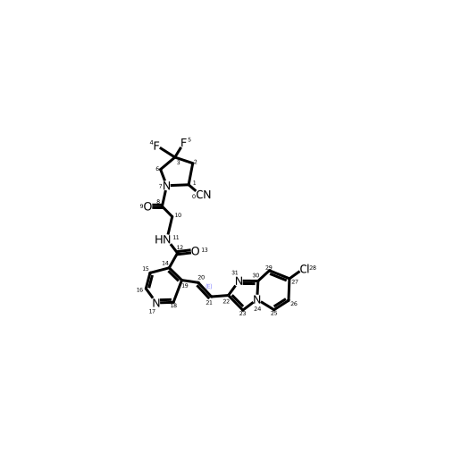 N#CC1CC(F)(F)CN1C(=O)CNC(=O)c1ccncc1/C=C/c1cn2ccc(Cl)cc2n1